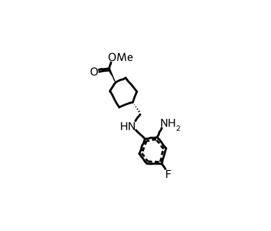 COC(=O)[C@H]1CC[C@H](CNc2ccc(F)cc2N)CC1